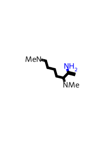 C=C(N)C(CCCCNC)NC